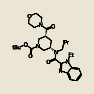 CCn1c(C(=O)N(CC(C)C)[C@H]2C[C@@H](C(=O)N3CCOCC3)CN(C(=O)OC(C)(C)C)C2)nc2ccccc21